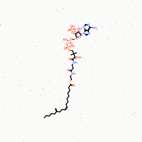 C=C(CC/C=C\CCCCCCCC(=O)SCCNC(=O)CCNC(=O)[C@H](O)C(C)(C)COP(=O)(O)OP(=O)(O)OC[C@H]1O[C@@H](n2cnc3c(N)ncnc32)[C@H](O)[C@@H]1OP(=O)(O)O)CCCCC